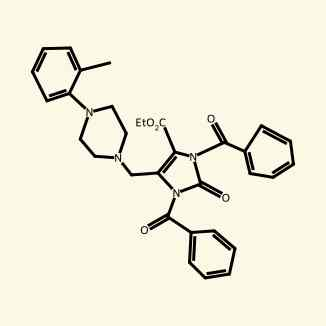 CCOC(=O)c1c(CN2CCN(c3ccccc3C)CC2)n(C(=O)c2ccccc2)c(=O)n1C(=O)c1ccccc1